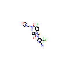 N#Cc1ncc(N2C(=O)C3(CCC3)N(c3ccc(F)c(C(=O)NCCN4CCOCC4)c3)C2=S)cc1C(F)(F)F